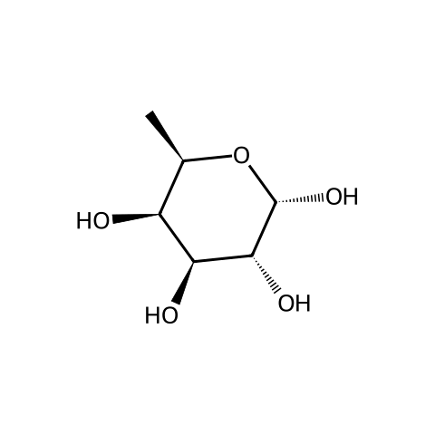 C[C@H]1O[C@H](O)[C@H](O)[C@@H](O)[C@H]1O